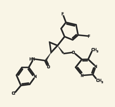 Cc1ncc(OC[C@@]2(C3C=C(F)C=C(F)C3)C[C@H]2C(=O)Nc2ccc(Cl)cn2)c(C)n1